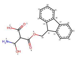 NC(O)C(C(=O)O)C(=O)OCC1c2ccccc2-c2ccccc21